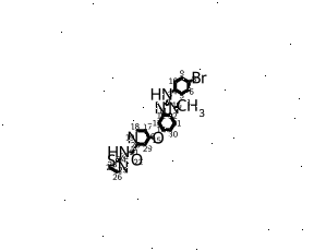 Cn1c(Nc2ccc(Br)cc2)nc2cc(Oc3ccnc(C(=O)Nc4nccs4)c3)ccc21